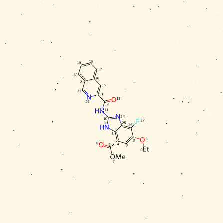 CCOc1cc(C(=O)OC)c2[nH]c(NC(=O)c3cc4ccccc4cn3)nc2c1F